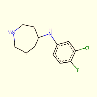 Fc1ccc(NC2C[CH]CNCC2)cc1Cl